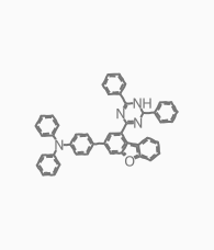 c1ccc(C2=NC(c3cc(-c4ccc(N(c5ccccc5)c5ccccc5)cc4)cc4oc5ccccc5c34)=NC(c3ccccc3)N2)cc1